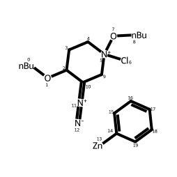 CCCCOC1CC[N+](Cl)(OCCCC)CC1=[N+]=[N-].[Zn][c]1ccccc1